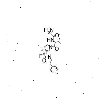 CC(C)[C@H](NC(=O)CN)C(=O)N1CCC[C@H]1CN(CCc1ccccc1)C(=O)C(F)(F)F